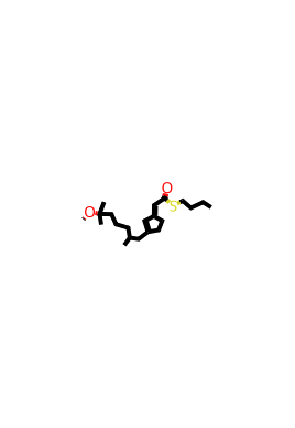 CCCCSC(=O)/C=C1/C=C(CC(C)CCCC(C)(C)OC)CC1